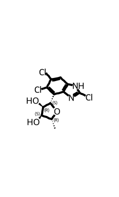 C[C@H]1O[C@@H](c2c(Cl)c(Cl)cc3[nH]c(Cl)nc23)[C@H](O)[C@@H]1O